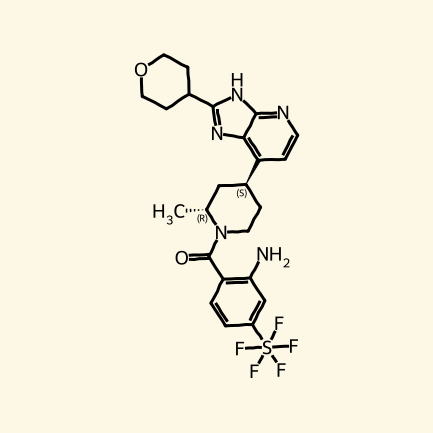 C[C@@H]1C[C@@H](c2ccnc3[nH]c(C4CCOCC4)nc23)CCN1C(=O)c1ccc(S(F)(F)(F)(F)F)cc1N